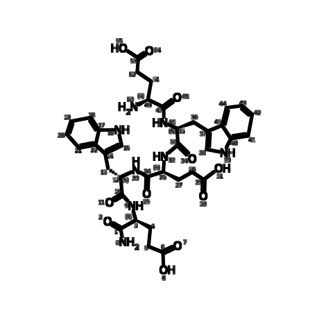 NC(=O)[C@H](CCC(=O)O)NC(=O)[C@H](Cc1c[nH]c2ccccc12)NC(=O)[C@H](CCC(=O)O)NC(=O)[C@H](Cc1c[nH]c2ccccc12)NC(=O)[C@@H](N)CCC(=O)O